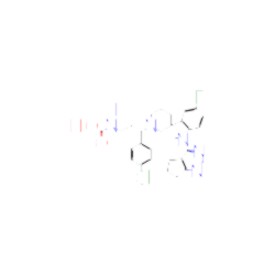 C[C@@H]1CCc2ncnc(N3C[C@]4(CCCN([C@H](CCNC(=O)O)c5ccc(Cl)cc5)C4)c4cc(F)ccc43)c21